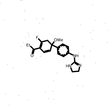 CCC(=O)C1=C(F)CC(OC)(c2ccc(NC3=NCCN3)cc2)C=C1